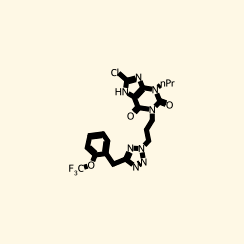 CCCn1c(=O)n(CCCn2nnc(Cc3ccccc3OC(F)(F)F)n2)c(=O)c2[nH]c(Cl)nc21